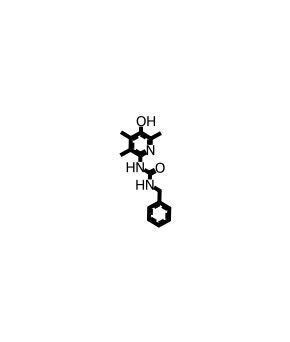 Cc1nc(NC(=O)NCc2ccccc2)c(C)c(C)c1O